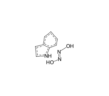 ON=NO.c1ccc2[nH]ccc2c1